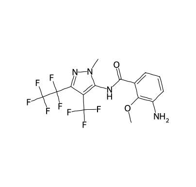 COc1c(N)cccc1C(=O)Nc1c(C(F)(F)F)c(C(F)(F)C(F)(F)F)nn1C